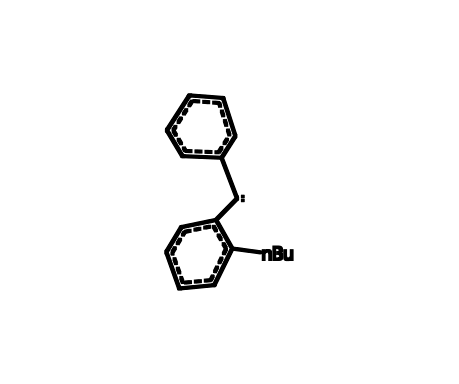 CCCCc1ccccc1[C]c1ccccc1